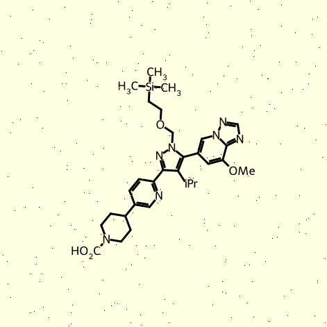 COc1cc(-c2c(C(C)C)c(-c3ccc(C4CCN(C(=O)O)CC4)cn3)nn2COCC[Si](C)(C)C)cn2ncnc12